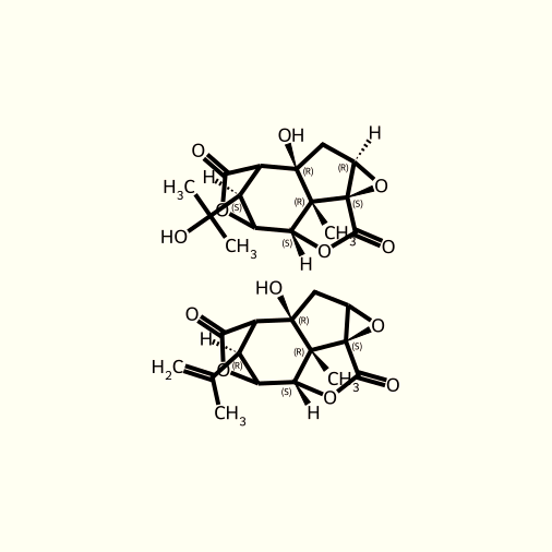 C=C(C)[C@@H]1C2OC(=O)C1[C@]1(O)CC3O[C@]34C(=O)O[C@H]2[C@]14C.CC(C)(O)[C@@H]1C2OC(=O)C1[C@]1(O)C[C@H]3O[C@]34C(=O)O[C@H]2[C@]14C